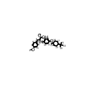 COc1ccc(CC(Nc2ccc(OC3(C)CCC(C(C)(C)C)CC3)cc2)C(=O)O)cc1